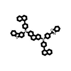 c1ccc2c(-c3ccc(N(c4ccc(-c5nc6ccccc6o5)cc4)c4ccc5c(ccc6cc(N(c7ccc(-c8cccc9ccccc89)cc7)c7ccc8sc9ccccc9c8c7)ccc65)c4)cc3)cccc2c1